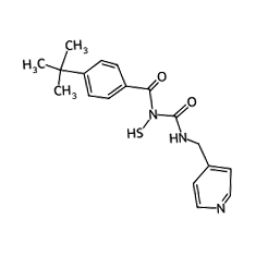 CC(C)(C)c1ccc(C(=O)N(S)C(=O)NCc2ccncc2)cc1